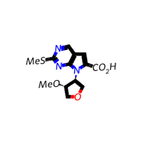 CO[C@H]1COC[C@H]1n1c(C(=O)O)cc2cnc(SC)nc21